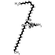 CCCCCC/C=C\C/C=C\CCCCCCCC(=O)OC(COC(=O)CCCCCCCCCCCCCCCCC)COP(=O)(O)OCCN